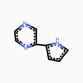 c1c[nH]c(-c2cnccn2)c1